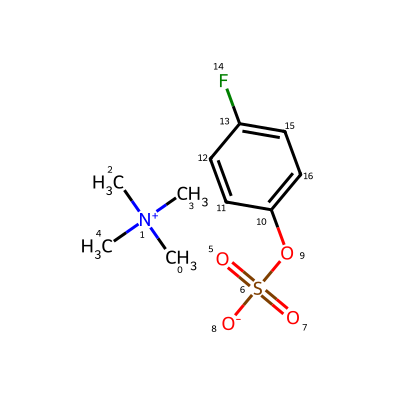 C[N+](C)(C)C.O=S(=O)([O-])Oc1ccc(F)cc1